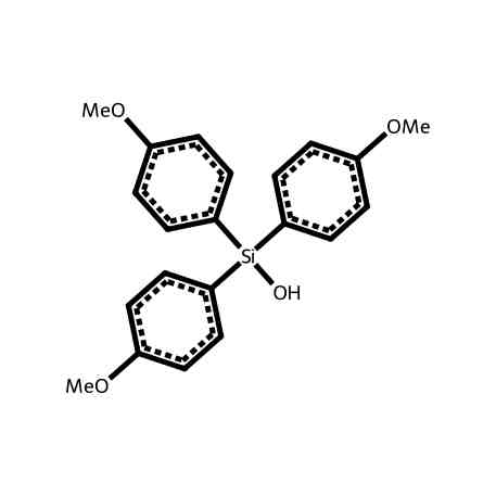 COc1ccc([Si](O)(c2ccc(OC)cc2)c2ccc(OC)cc2)cc1